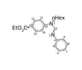 CCCCCCN(C=Nc1ccccc1)c1ccc(C(=O)OCC)cc1